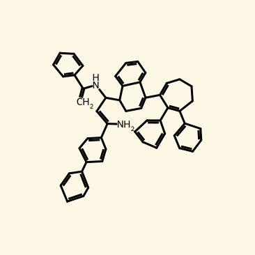 C=C(NC(/C=C(\N)c1ccc(-c2ccccc2)cc1)C1CC=C(C2=CCCCC(c3ccccc3)=C2c2ccccc2)c2ccccc21)c1ccccc1